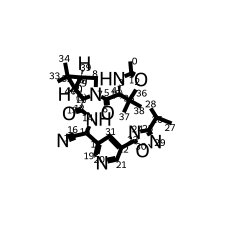 CC(=O)N[C@H](C(=O)N1C[C@H]2[C@@H]([C@H]1C(=O)NC(C#N)c1cncc(-c3nc(C(C)C)no3)c1)C2(C)C)C(C)(C)C